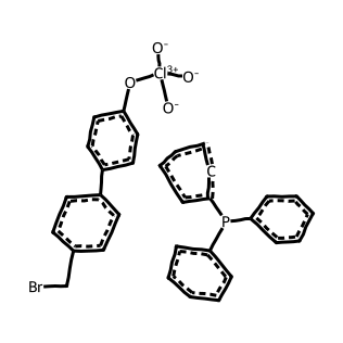 [O-][Cl+3]([O-])([O-])Oc1ccc(-c2ccc(CBr)cc2)cc1.c1ccc(P(c2ccccc2)c2ccccc2)cc1